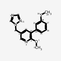 COc1ncc(Cn2cncn2)cc1-c1cccc(SC)c1